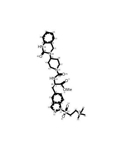 COC(=O)[C@@H](Cc1ccc2c(cnn2S(=O)(=O)CC[Si](C)(C)C)c1)NC(=O)N1CCC(N2Cc3ccccc3NC2=O)CC1